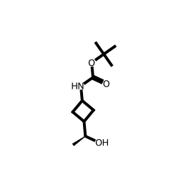 C[C@H](O)C1CC(NC(=O)OC(C)(C)C)C1